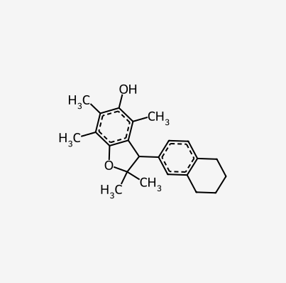 Cc1c(C)c2c(c(C)c1O)C(c1ccc3c(c1)CCCC3)C(C)(C)O2